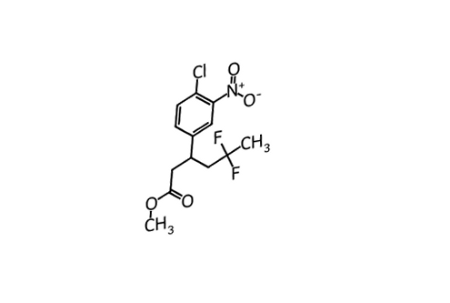 COC(=O)CC(CC(C)(F)F)c1ccc(Cl)c([N+](=O)[O-])c1